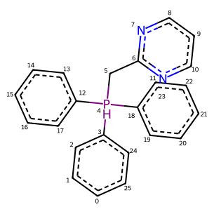 c1ccc([PH](Cc2ncccn2)(c2ccccc2)c2ccccc2)cc1